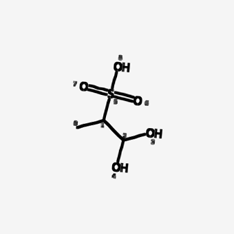 CC(C(O)O)S(=O)(=O)O